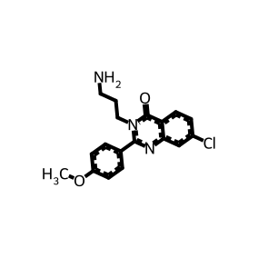 COc1ccc(-c2nc3cc(Cl)ccc3c(=O)n2CCCN)cc1